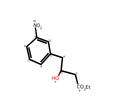 CCOC(=O)CC(O)Cc1cccc([N+](=O)[O-])c1